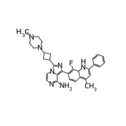 CC1=C2C=CC(c3nc(C4CC(N5CCN(C)CC5)C4)n4ccnc(N)c34)=C(F)C2NC(c2ccccc2)=C1